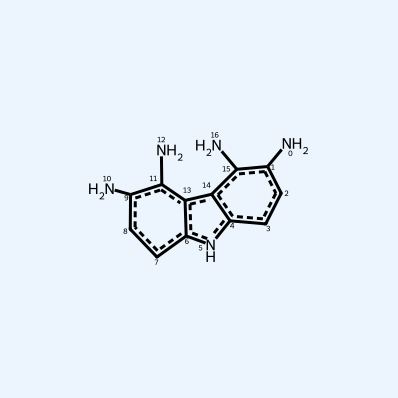 Nc1ccc2[nH]c3ccc(N)c(N)c3c2c1N